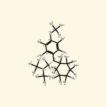 [2H]c1c([2H])c([C@@H](C([2H])([2H])N(C([2H])([2H])[2H])C([2H])([2H])[2H])C2(O)C([2H])([2H])C([2H])([2H])C([2H])([2H])C([2H])([2H])C2([2H])[2H])c([2H])c([2H])c1OC([2H])([2H])[2H]